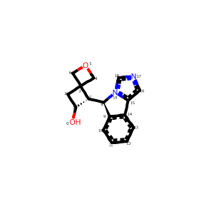 OC1CC2(COC2)[C@@H]1[C@@H]1c2ccccc2-c2cncn21